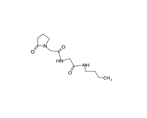 CCCCNC(=O)CNC(=O)CN1CCCC1=O